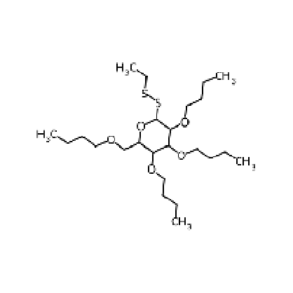 CCCCOCC1OC(SSCC)C(OCCCC)C(OCCCC)C1OCCCC